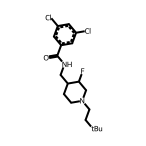 CC(C)(C)CCN1CCC(CNC(=O)c2cc(Cl)cc(Cl)c2)C(F)C1